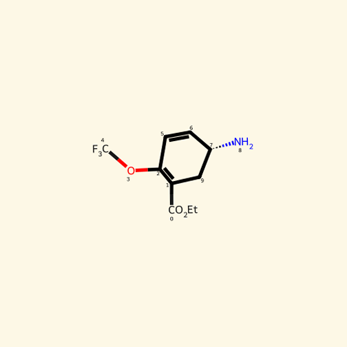 CCOC(=O)C1=C(OC(F)(F)F)C=C[C@H](N)C1